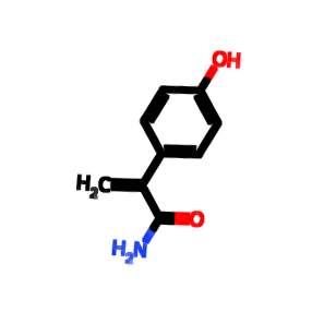 C=C(C(N)=O)c1ccc(O)cc1